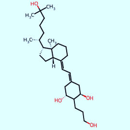 C[C@H](CCCC(C)(C)O)[C@H]1CC[C@H]2/C(=C/C=C3C[C@@H](O)C(CCCO)[C@H](O)C3)CCC[C@]12C